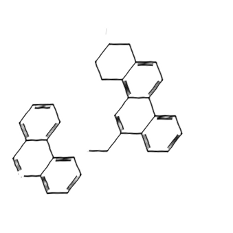 Cl.ClCc1cc2c3c(ccc2c2ccccc12)CCCC3.c1ccc2c(c1)cnc1ccccc12